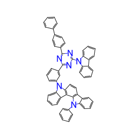 c1ccc(-c2ccc(-c3nc(-c4cccc(-n5c6ccccc6c6c5ccc5c7ccccc7n(-c7ccccc7)c56)c4)nc(-n4c5ccccc5c5ccccc54)n3)cc2)cc1